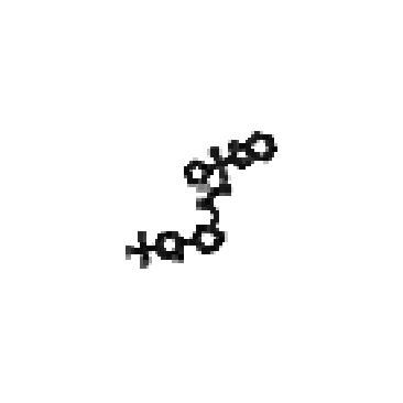 O=C(NCc1cc(-c2ccc(C(F)(F)F)cn2)ccn1)[C@@H]1CCCN1S(=O)(=S)c1cc2ccccc2o1